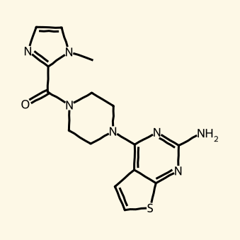 Cn1ccnc1C(=O)N1CCN(c2nc(N)nc3sccc23)CC1